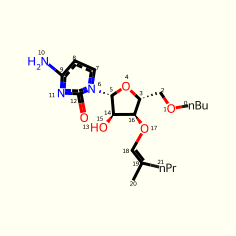 CCCCOC[C@H]1O[C@@H](n2ccc(N)nc2=O)[C@H](O)[C@@H]1O/C=C(/C)CCC